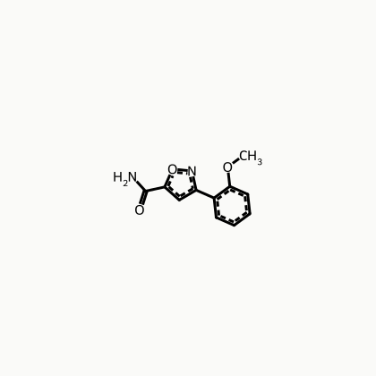 COc1ccccc1-c1cc(C(N)=O)on1